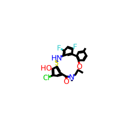 Cc1ccc2c(c1)-c1cc(c(F)cc1F)NSc1cc(cc(Cl)c1O)C(=O)N(C)CC(C)O2